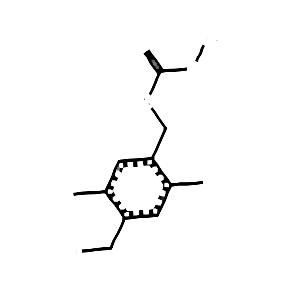 Cc1cc(CC(C)C)c(C)cc1CNC(=O)OC(C)(C)C